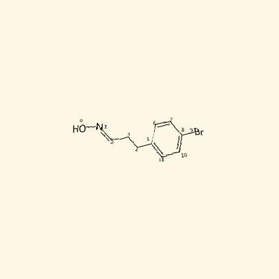 ON=CCCc1ccc(Br)cc1